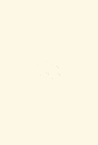 Cn1nc2cc(Cl)ccn2c1=O